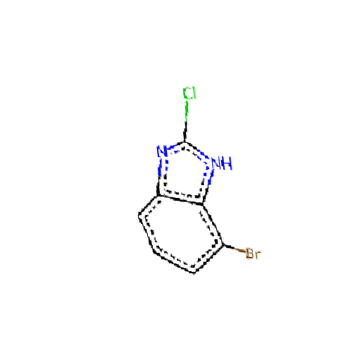 Clc1nc2cccc(Br)c2[nH]1